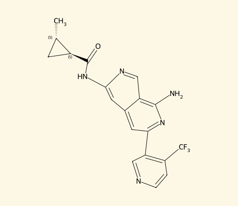 C[C@H]1C[C@@H]1C(=O)Nc1cc2cc(-c3cnccc3C(F)(F)F)nc(N)c2cn1